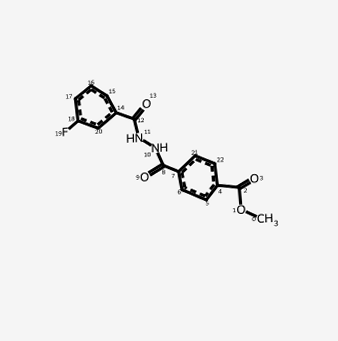 COC(=O)c1ccc(C(=O)NNC(=O)c2cccc(F)c2)cc1